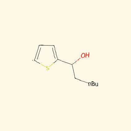 CCCCCC(O)c1cc[c]s1